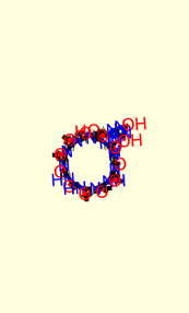 CC[C@@H]1NC(=O)[C@H]([C@H](O)[C@H](C)CC2=NC3N=C(O)N=C(O)C3N2)N(C)C(=O)[C@H](C(C)C)N(C)C(=O)[C@H](CC(C)C)N(C)C(=O)[C@H](CC(C)C)N(C)C(=O)[C@@H](C)NC(=O)[C@H](C)NC(=O)[C@H](CC(C)C)N(C)C(=O)[C@H](C(C)C)NC(=O)[C@H](CC(C)C)N(C)C(=O)CN(C)C1=O